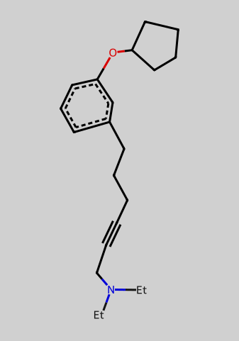 CCN(CC)CC#CCCCc1cccc(OC2CCCC2)c1